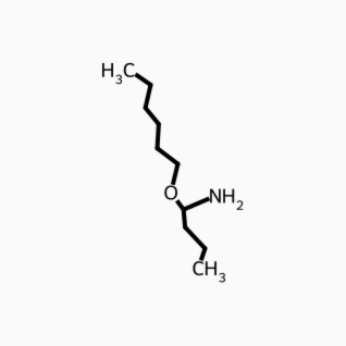 CCCCCCOC(N)CCC